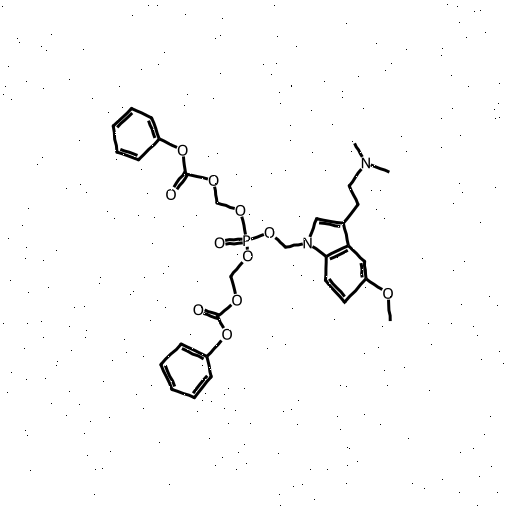 COc1ccc2c(c1)c(CCN(C)C)cn2COP(=O)(OCOC(=O)Oc1ccccc1)OCOC(=O)Oc1ccccc1